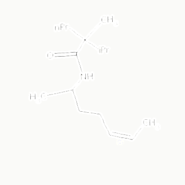 C/C=C\CCC(C)NC(=O)C(C)(CCC)C(C)C